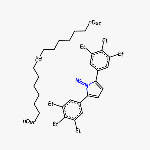 CCCCCCCCCCCCCCC[CH2][Pd][CH2]CCCCCCCCCCCCCCC.CCc1cc(C2=CC=C(c3cc(CC)c(CC)c(CC)c3)[N+]2=[N-])cc(CC)c1CC